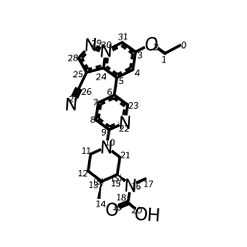 CCOc1cc(-c2ccc(N3CC[C@H](C)[C@H](N(C)C(=O)O)C3)nc2)c2c(C#N)cnn2c1